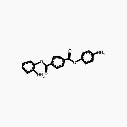 Nc1ccc(OC(=O)c2ccc(C(=O)Oc3ccccc3N)cc2)cc1